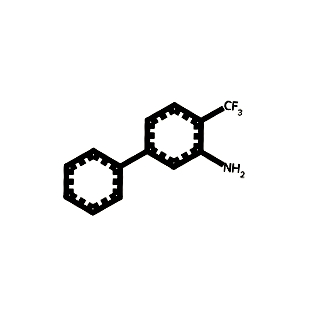 Nc1cc(-c2ccccc2)ccc1C(F)(F)F